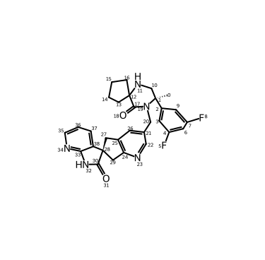 C[C@@]1(c2cc(F)cc(F)c2)CNC2(CCCC2)C(=O)N1Cc1cnc2c(c1)C[C@@]1(C2)C(=O)Nc2ncccc21